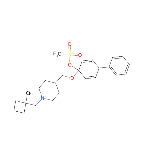 O=S(=O)(OC1(OCC2CCN(CC3(C(F)(F)F)CCC3)CC2)C=CC(c2ccccc2)C=C1)C(F)(F)F